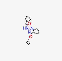 c1ccc2oc(Nc3nc(OCC4CCC4)c4ccccc4n3)cc2c1